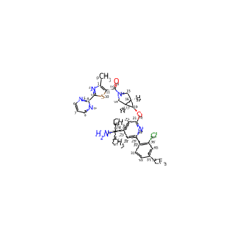 Cc1nc(-c2ncccn2)sc1C(=O)N1C[C@@H]2[C@H](C1)[C@@H]2Oc1cc(C(C)(C)N)cc(-c2ccc(C(F)(F)F)cc2Cl)n1